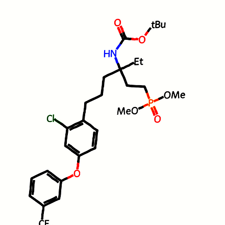 CCC(CCCc1ccc(Oc2cccc(C(F)(F)F)c2)cc1Cl)(CCP(=O)(OC)OC)NC(=O)OC(C)(C)C